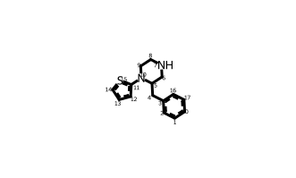 c1ccc(CC2CNCCN2c2cccs2)cc1